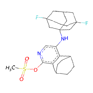 CS(=O)(=O)Oc1ncc(NC23CC4CC(F)(CC(F)(C4)C2)C3)c2c1C1CCC2CC1